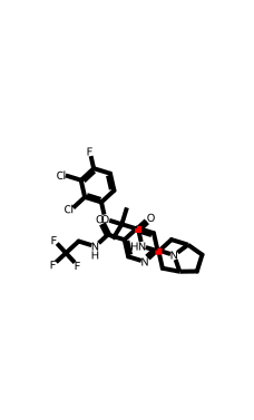 CC(C)(Oc1ccc(F)c(Cl)c1Cl)C(=O)NC1CC2CCC(C1)N2c1ccc(C(=O)NCC(F)(F)F)cn1